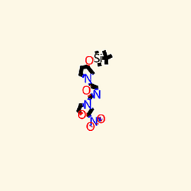 CC(C)(C)[Si](C)(C)OC1CCN(c2cnc(N3CCOC([N+](=O)[O-])C3)o2)C1